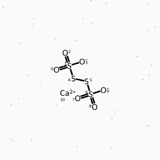 O=S(=O)([O-])SSS(=O)(=O)[O-].[Ca+2]